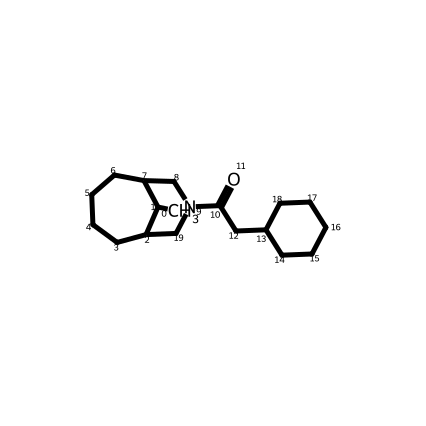 CC1C2CCCCC1CN(C(=O)CC1CCCCC1)C2